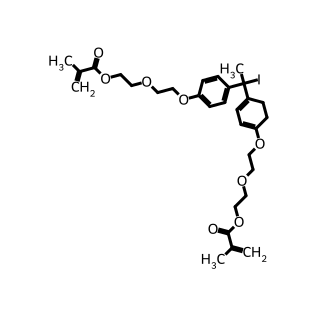 C=C(C)C(=O)OCCOCCOC1=CC=C(C(C)(I)c2ccc(OCCOCCOC(=O)C(=C)C)cc2)CC1